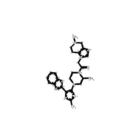 CC1CN(c2sc(C(F)(F)F)nc2-c2nc3ccccc3[nH]2)CCN1C(=O)Cn1cnc2c1CCN(C)C2